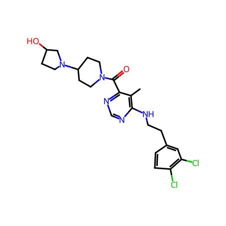 Cc1c(NCCc2ccc(Cl)c(Cl)c2)ncnc1C(=O)N1CCC(N2CCC(O)C2)CC1